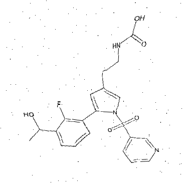 CC(O)c1cccc(-c2cc(CCNC(=O)O)cn2S(=O)(=O)c2cccnc2)c1F